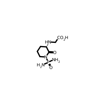 NP(N)(=O)N1CCC[C@H](NCC(=O)O)C1=O